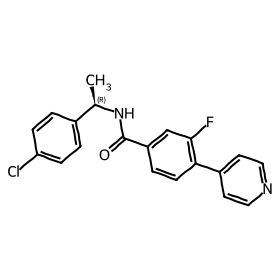 C[C@@H](NC(=O)c1ccc(-c2ccncc2)c(F)c1)c1ccc(Cl)cc1